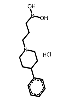 Cl.OB(O)CCCN1CCC(c2ccccc2)CC1